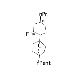 CCCCCC12CCC(C3CC[C@H](CCC)C[C@H]3F)(CC1)CC2